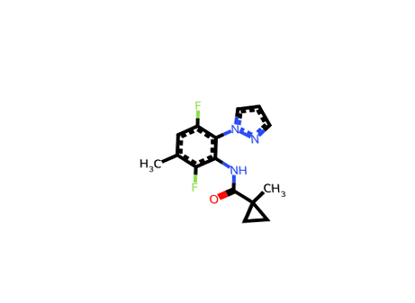 Cc1cc(F)c(-n2cccn2)c(NC(=O)C2(C)CC2)c1F